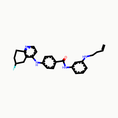 C=CCCNc1cccc(NC(=O)c2ccc(Nc3ccnc4c3CC(F)CC4)cc2)c1